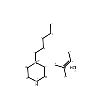 CC=C(C)C.CCCCCN1CCNCC1.Cl